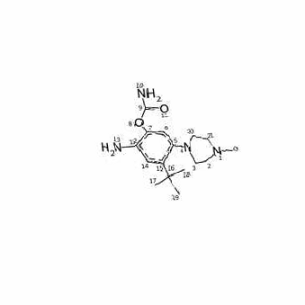 CN1CCN(c2cc(OC(N)=O)c(N)cc2C(C)(C)C)CC1